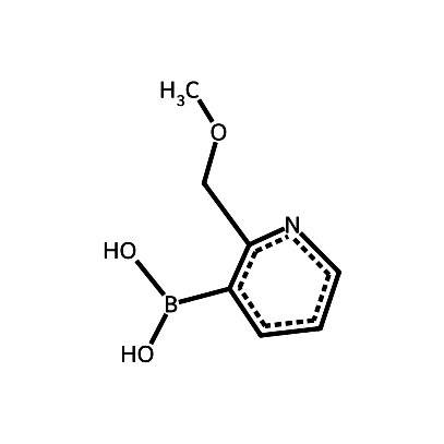 COCc1ncccc1B(O)O